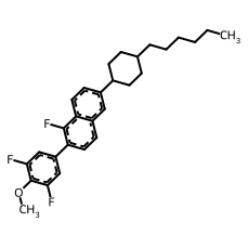 CCCCCCC1CCC(c2ccc3c(F)c(-c4cc(F)c(OC)c(F)c4)ccc3c2)CC1